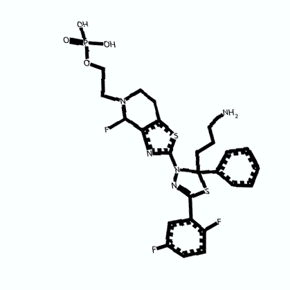 NCCCC1(c2ccccc2)SC(c2cc(F)ccc2F)=NN1c1nc2c(s1)CCN(CCOP(=O)(O)O)C2F